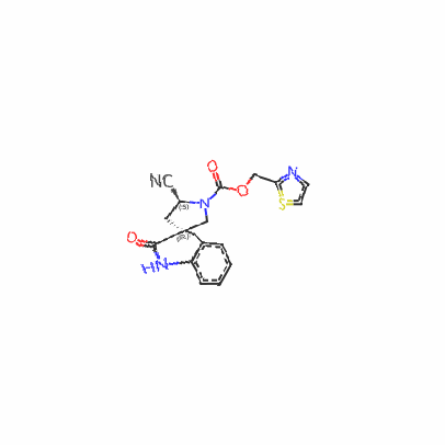 N#C[C@@H]1C[C@@]2(CN1C(=O)OCc1nccs1)C(=O)Nc1ccccc12